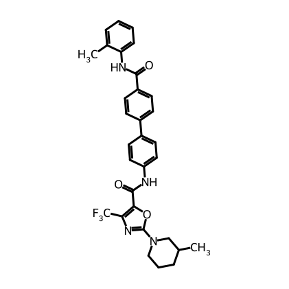 Cc1ccccc1NC(=O)c1ccc(-c2ccc(NC(=O)c3oc(N4CCCC(C)C4)nc3C(F)(F)F)cc2)cc1